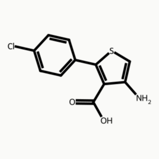 Nc1csc(-c2ccc(Cl)cc2)c1C(=O)O